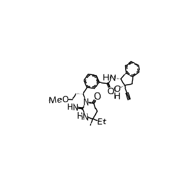 C#C[C@]1(O)Cc2ccccc2[C@H]1NC(=O)c1cccc([C@@H](CCOC)N2C(=N)NC(C)(CC)CC2=O)c1